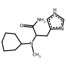 CN(C1CCCCC1)C(Cc1c[nH]cn1)C(N)=O